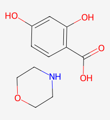 C1COCCN1.O=C(O)c1ccc(O)cc1O